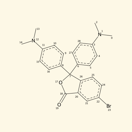 CN(C)c1ccc(C2(c3ccc(N(C)C)cc3)OC(=O)c3cc(Br)ccc32)cc1